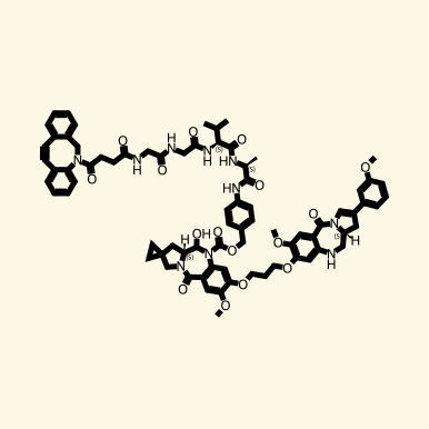 COc1cccc(C2=CN3C(=O)c4cc(OC)c(OCCCOc5cc6c(cc5OC)C(=O)N5CC7(CC7)C[C@H]5C(O)N6C(=O)OCc5ccc(NC(=O)[C@H](C)NC(=O)[C@@H](NC(=O)CNC(=O)CNC(=O)CCC(=O)N6Cc7ccccc7C#Cc7ccccc76)C(C)C)cc5)cc4NC[C@@H]3C2)c1